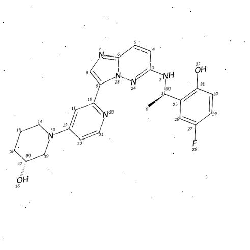 C[C@@H](Nc1ccc2ncc(-c3cc(N4CCC[C@@H](O)C4)ccn3)n2n1)c1cc(F)ccc1O